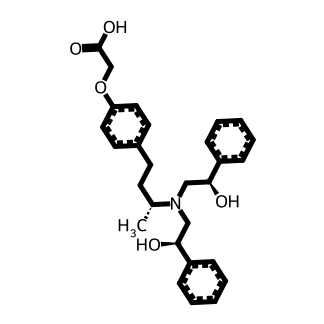 C[C@H](CCc1ccc(OCC(=O)O)cc1)N(C[C@H](O)c1ccccc1)C[C@H](O)c1ccccc1